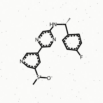 C[C@@H](Nc1cnc(-c2cncc([S+](C)[O-])c2)cn1)c1ccc(F)cc1